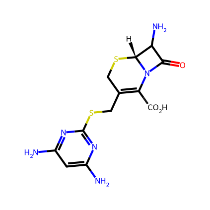 Nc1cc(N)nc(SCC2=C(C(=O)O)N3C(=O)C(N)[C@H]3SC2)n1